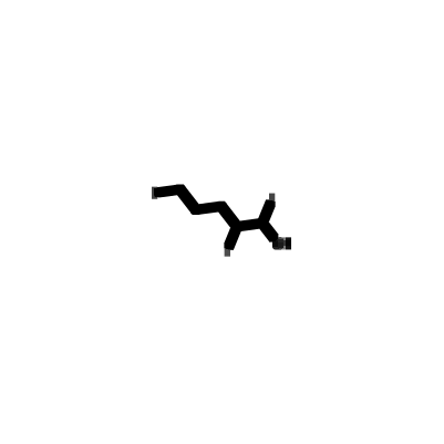 OC(I)C(I)CCCI